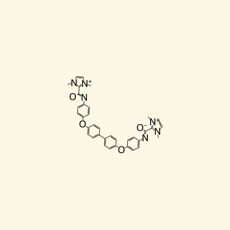 Cn1cc[n+](C)c1/C([O-])=N/c1ccc(Oc2ccc(-c3ccc(Oc4ccc(/N=C(\[O-])c5n(C)cc[n+]5C)cc4)cc3)cc2)cc1